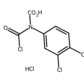 Cl.O=C(O)N(C(=O)Cl)c1ccc(Cl)c(Cl)c1